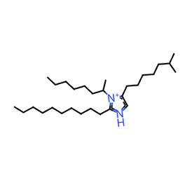 CCCCCCCCCCc1[nH]cc(CCCCCC(C)C)[n+]1C(C)CCCCCC